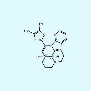 CC[C@@]12C=C(c3nc(C)c(C#N)o3)n3c4c(c5ccccc53)CCN(CCC1)[C@H]42